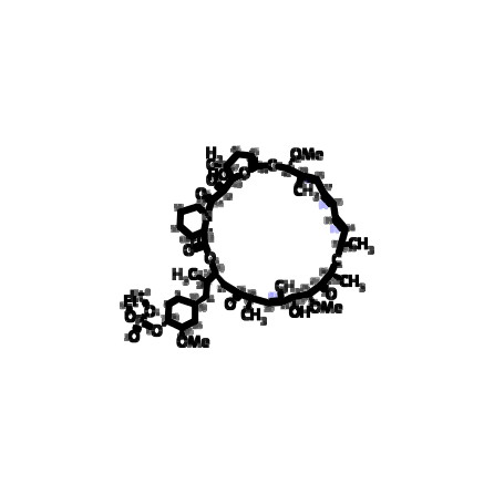 CCOP(=O)(OCC)O[C@@H]1CC[C@@H](C[C@@H](C)[C@@H]2CC(=O)[C@H](C)/C=C(\C)[C@@H](O)[C@@H](OC)C(=O)[C@H](C)C[C@H](C)/C=C/C=C/C=C(\C)[C@@H](OC)C[C@@H]3CC[C@@H](C)C(O)(O3)C(=O)C(=O)N3CCCC[C@H]3C(=O)O2)C[C@H]1OC